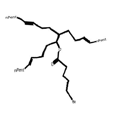 CCCCCC=CCCC(CCC=CCCCCC)C(CCC=CCCCCC)OC(=O)CCCCBr